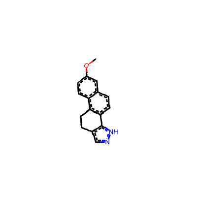 COc1ccc2c3c(ccc2c1)-c1[nH]ncc1CC3